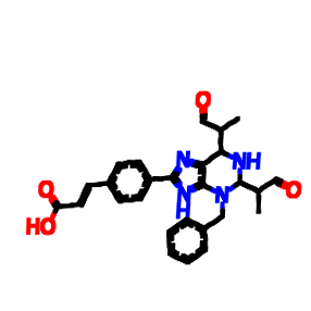 CC(C=O)C1NC(C(C)C=O)N(Cc2ccccc2)c2[nH]c(-c3ccc(/C=C/C(=O)O)cc3)nc21